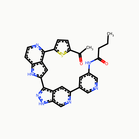 CCCC(=O)Nc1cncc(-c2cc3c(-c4cc5c(-c6ccc(C(C)=O)s6)nccc5[nH]4)n[nH]c3cn2)c1